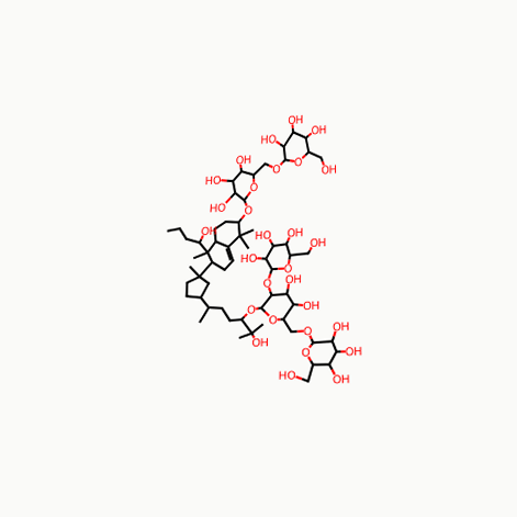 CCCC(O)C1(C)C2CCC(OC3OC(COC4OC(CO)C(O)C(O)C4O)C(O)C(O)C3O)C(C)(C)C2=CCC1C1(C)CCC(C(C)CCC(OC2OC(COC3OC(CO)C(O)C(O)C3O)C(O)C(O)C2OC2OC(CO)C(O)C(O)C2O)C(C)(C)O)C1